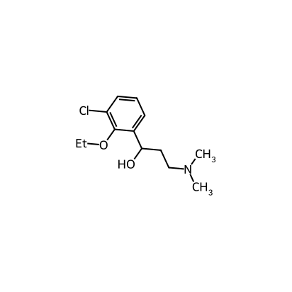 CCOc1c(Cl)cccc1C(O)CCN(C)C